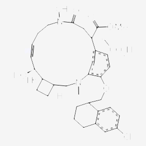 COC(=O)[C@]1(CC(=O)O)CC(=O)N(C)CC/C=C\[C@H](O)[C@@H]2CC[C@@H]2CN2C[C@]3(CCCc4cc(Cl)ccc43)COc3ccc1cc32